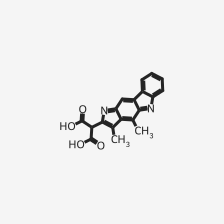 CC1=C(C(C(=O)O)C(=O)O)N=c2cc3c(c(C)c21)=Nc1ccccc1-3